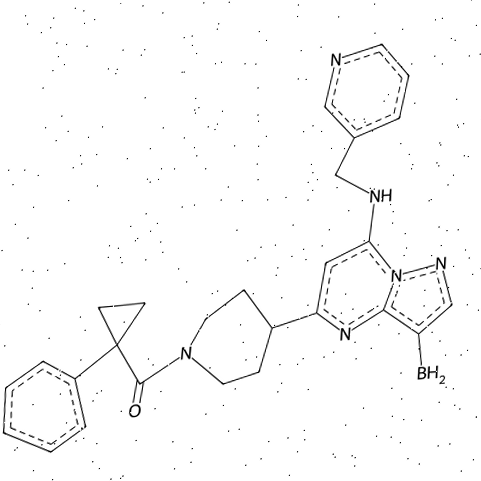 Bc1cnn2c(NCc3cccnc3)cc(C3CCN(C(=O)C4(c5ccccc5)CC4)CC3)nc12